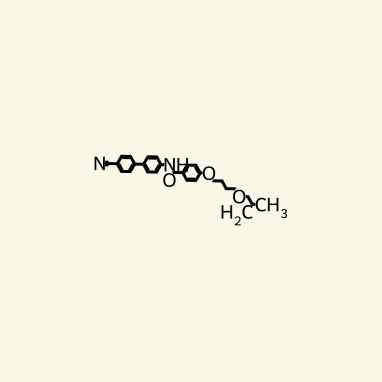 C=C(C)COCCCCOc1ccc(C(=O)Nc2ccc(-c3ccc(C#N)cc3)cc2)cc1